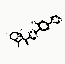 C=C(c1cnc(-c2ccc(-n3ccnc3)cc2O)nn1)C1C[C@]2(C)C[C@@H](C)CC(N2)[C@@H]1F